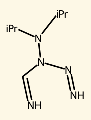 CC(C)N(C(C)C)N(C=N)N=N